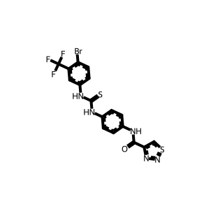 O=C(Nc1ccc(NC(=S)Nc2ccc(Br)c(C(F)(F)F)c2)cc1)c1csnn1